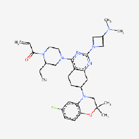 C=CC(=O)N1CCN(c2nc(N3CC(N(C)C)C3)nc3c2CCC(N2CC(C)(C)Oc4ccc(F)cc42)C3)CC1CC#N